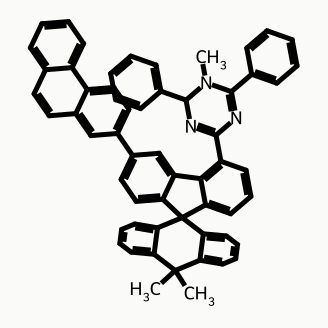 CN1C(c2ccccc2)=NC(c2cccc3c2-c2cc(-c4ccc5c(ccc6ccccc65)c4)ccc2C32c3ccccc3C(C)(C)c3ccccc32)=NC1c1ccccc1